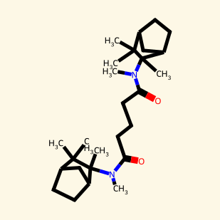 CN(C(=O)CCCC(=O)N(C)C1(C)C2CCC(C2)C1(C)C)C1(C)C2CCC(C2)C1(C)C